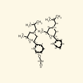 CC(C)CP(CCc1ccccn1)CC(C)C.CC(C)CP(CCc1ccccn1)CC(C)C.[Cl][Ru][Cl]